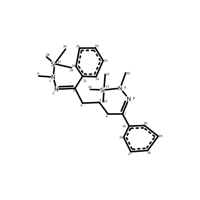 CN(/N=C(/CCC/C(=N\N(C)[Si](C)(C)C)c1ccccc1)c1ccccc1)[Si](C)(C)C